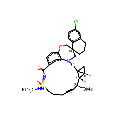 CCOC(=O)N[S@]1(=O)=NC(=O)c2ccc3c(c2)N(CC24C[C@@H]2[C@@H]4[C@@H](OC)/C=C/CCC1)C[C@@]1(CCCc2cc(Cl)ccc21)CO3